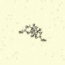 CC(C)(C)C1OC[C@H]2O[C@@H]3OC(C(C)(C)C)O[C@@H]3[C@H]2O1